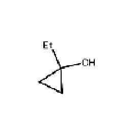 C[CH]C1(O)CC1